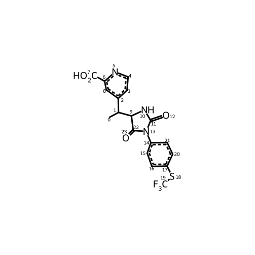 CC(c1ccnc(C(=O)O)c1)C1NC(=O)N(c2ccc(SC(F)(F)F)cc2)C1=O